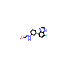 COCCN[C@@H]1C[C@H](C)C[C@H](c2ccc(F)c3nccnc23)C1